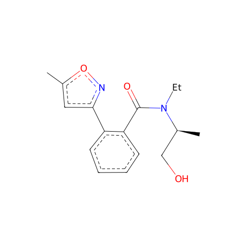 CCN(C(=O)c1ccccc1-c1cc(C)on1)[C@@H](C)CO